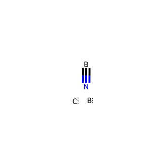 B#N.[B].[C]